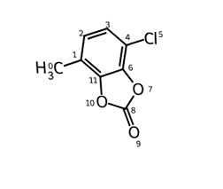 Cc1ccc(Cl)c2oc(=O)oc12